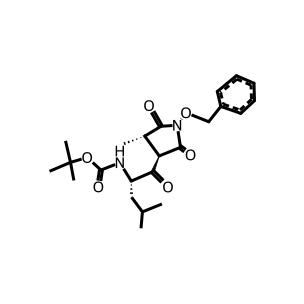 CC(C)C[C@H](NC(=O)OC(C)(C)C)C(=O)[C@@H]1C(=O)N(OCc2ccccc2)C(=O)[C@H]1C